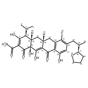 CN(C)[C@@H]1C(O)=C(C(N)=O)C(=O)[C@@]2(O)C(O)=C3C(=O)c4c(O)cc(CN(C)[C@H]5CCCO5)c(F)c4C[C@H]3C[C@@H]12